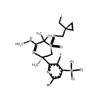 CC[Si](CC)(CC)c1cc(Br)nc([C@]2(C)C[S@](=O)(=NCC3(CI)CC3)C(C)(C)C(NC(=O)O)=N2)c1F